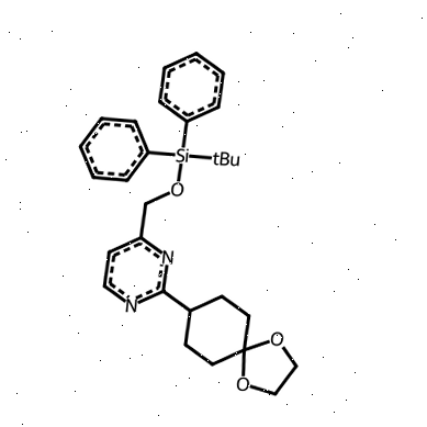 CC(C)(C)[Si](OCc1ccnc(C2CCC3(CC2)OCCO3)n1)(c1ccccc1)c1ccccc1